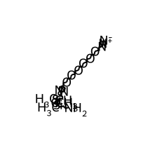 C[Si](C)(CCCN)O[Si](C)(C)CSc1ncc(COCCOCCOCCOCCOCCOCCN=[N+]=[N-])cn1